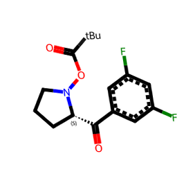 CC(C)(C)C(=O)ON1CCC[C@H]1C(=O)c1cc(F)cc(F)c1